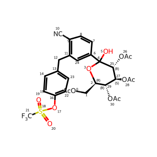 CC(=O)OC[C@H]1OC(O)(c2ccc(C#N)c(Cc3ccc(OS(=O)(=O)C(F)(F)F)cc3)c2)[C@H](OC(C)=O)[C@@H](OC(C)=O)[C@@H]1OC(C)=O